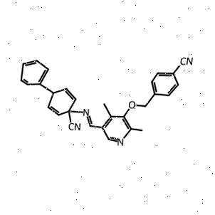 Cc1ncc(/C=N/C2(C#N)C=CC(c3ccccc3)C=C2)c(C)c1OCc1ccc(C#N)cc1